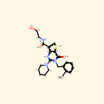 N#Cc1ccccc1Cn1c(N2CCCCC2)nc2c(C(=O)NCCO)csc2c1=O